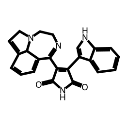 O=C1NC(=O)C(c2c[nH]c3ccccc23)=C1C1=NCCN2CC=C3C=CC=C1C32